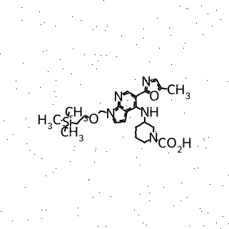 Cc1cnc(-c2cnc3c(ccn3COCC[Si](C)(C)C)c2NC2CCCN(C(=O)O)C2)o1